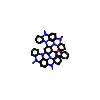 CN1c2ccccc2N(c2cc(N3c4ccccc4N(C)c4ccccc43)c(N3c4ccccc4N(C)c4ccccc43)c(-c3nc4ccccc4o3)c2N2c3ccccc3N(C)c3ccccc32)c2ccccc21